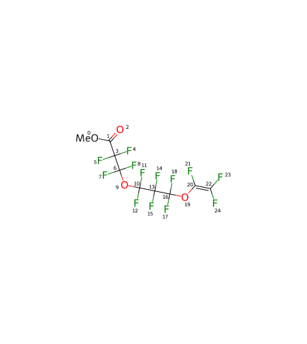 COC(=O)C(F)(F)C(F)(F)OC(F)(F)C(F)(F)C(F)(F)OC(F)=C(F)F